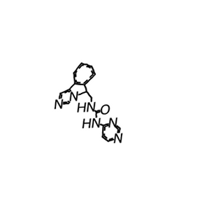 O=C(NCC1c2ccccc2-c2cncn21)Nc1ccncn1